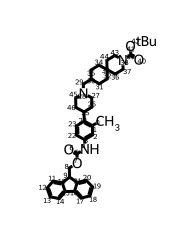 Cc1cc(NC(=O)OCC2c3ccccc3-c3ccccc32)ccc1C1CCN(CC2CCC3(CC2)CCN(C(=O)OC(C)(C)C)CC3)CC1